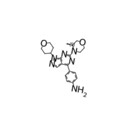 C[C@H]1COCCN1c1nc(-c2ccc(N)cc2)c2cnn(C3CCOCC3)c2n1